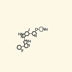 Fc1ccccc1-c1ccnc2[nH]c(-c3n[nH]c4cc(I)c(-c5cncc(OC6CCNCC6)c5)cc34)cc12